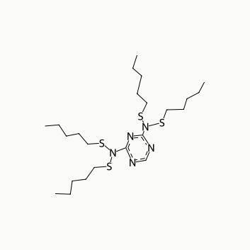 CCCCCSN(SCCCCC)c1ncnc(N(SCCCCC)SCCCCC)n1